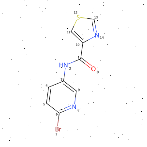 O=C(Nc1ccc(Br)nc1)c1cscn1